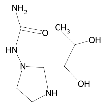 CC(O)CO.NC(=O)NN1CCNC1